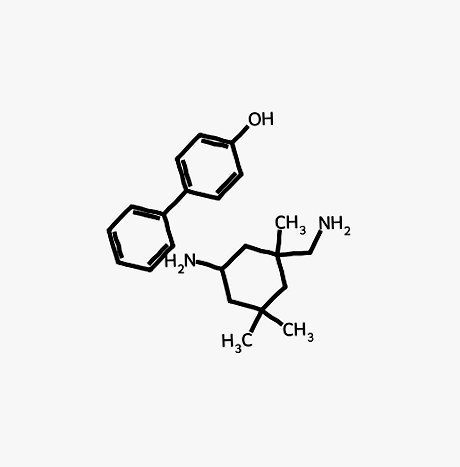 CC1(C)CC(N)CC(C)(CN)C1.Oc1ccc(-c2ccccc2)cc1